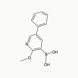 COc1ncc(-c2ccccc2)cc1B(O)O